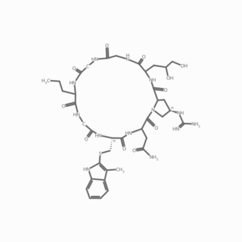 CCCC1NC(=O)CNC(=O)CNC(=O)C(CC(O)CO)NC(=O)C2C[C@@H](NC(=N)N)CN2C(=O)C(CC(N)=O)NC(=O)[C@H](CSc2[nH]c3ccccc3c2C)NC(=O)CNC1=O